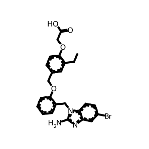 CCc1cc(COc2ccccc2Cn2c(N)nc3cc(Br)ccc32)ccc1OCC(=O)O